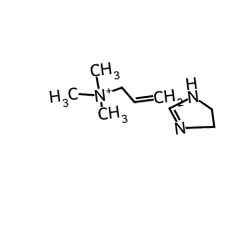 C1=NCCN1.C=CC[N+](C)(C)C